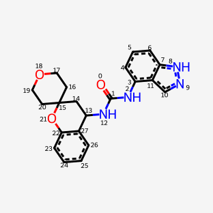 O=C(Nc1cccc2[nH]ncc12)NC1CC2(CCOCC2)Oc2ccccc21